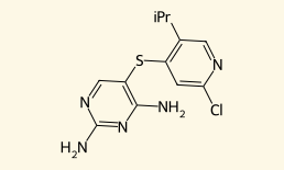 CC(C)c1cnc(Cl)cc1Sc1cnc(N)nc1N